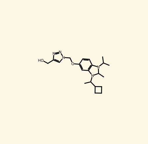 CC(C)N1c2ccc(OCn3cc(CO)nn3)cc2N(C(C)C2CCC2)C1C